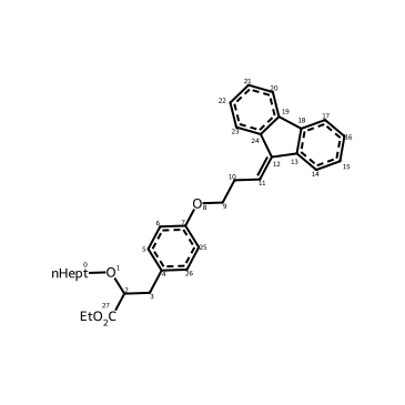 CCCCCCCOC(Cc1ccc(OCCC=C2c3ccccc3-c3ccccc32)cc1)C(=O)OCC